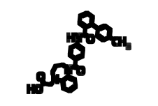 Cc1ccc(-c2ccccc2C(=O)Nc2ccc(C(=O)N3CCCN(CC(=O)O)c4ccccc43)cc2)cc1